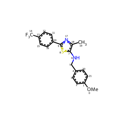 COc1ccc(CNc2sc(-c3ccc(C(F)(F)F)cc3)nc2C)cc1